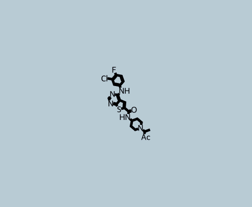 CC(=O)C(C)N1CCC(NC(=O)c2cc3c(Nc4ccc(F)c(Cl)c4)ncnc3s2)CC1